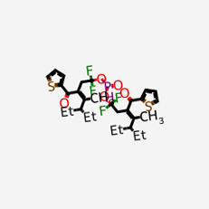 CCC(CC)C(C)=C(CC(F)(F)O[PH](=O)OC(F)(F)CC(C(=O)c1cccs1)=C(C)C(CC)CC)C(=O)c1cccs1